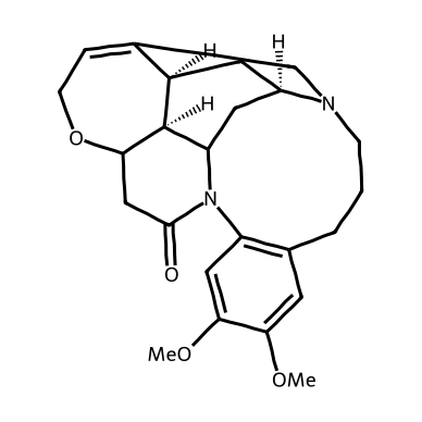 COc1cc2c(cc1OC)N1C(=O)CC3OCC=C4CN(CCC2)[C@H]2CC1[C@@H]3[C@@H]4C2